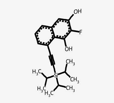 CC(C)[Si](C#Cc1cccc2cc(O)c(F)c(O)c12)(C(C)C)C(C)C